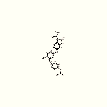 COC(=O)N1c2ccc(Nc3ncc(F)c(Nc4ccc(OC(C)C)cc4)n3)cc2CN1C